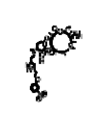 CC[C@H]1OC(=O)[C@H](C)[C@@H](OC)C[C@@H](O[C@@H]2OCC[C@H](N(C)CCc3cn(CCOc4cccc([N+](=O)[O-])c4)nn3)[C@H]2O)[C@](C)(O)C[C@@H](C)CN(C)[C@H](C)[C@@H](O)[C@]1(C)O